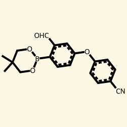 CC1(C)COB(c2ccc(Oc3ccc(C#N)cc3)cc2C=O)OC1